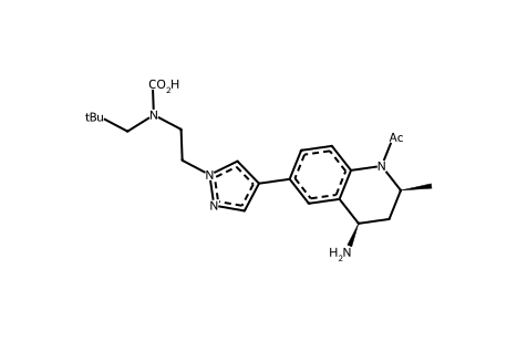 CC(=O)N1c2ccc(-c3cnn(CCN(CC(C)(C)C)C(=O)O)c3)cc2[C@H](N)C[C@@H]1C